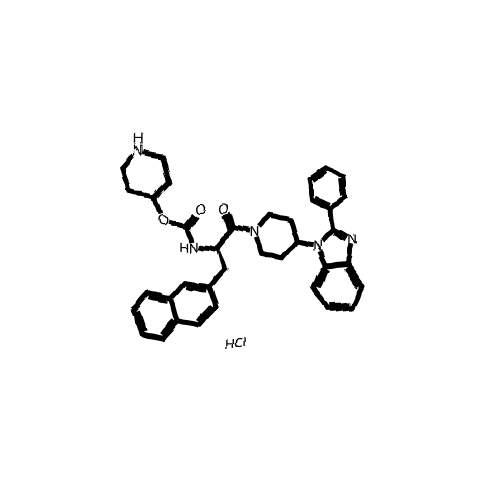 Cl.O=C(N[C@H](Cc1ccc2ccccc2c1)C(=O)N1CCC(n2c(-c3ccccc3)nc3ccccc32)CC1)OC1CCNCC1